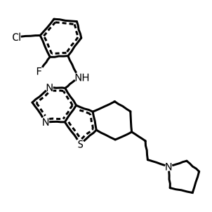 Fc1c(Cl)cccc1Nc1ncnc2sc3c(c12)CCC(CCN1CCCC1)C3